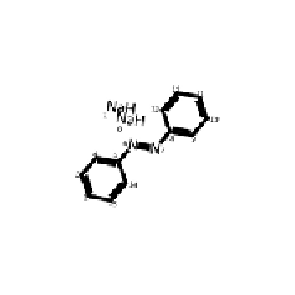 [NaH].[NaH].c1ccc(/N=N/c2ccccc2)cc1